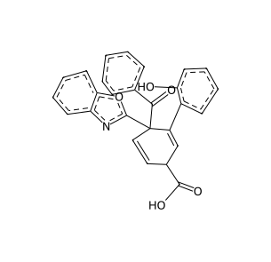 O=C(O)C1C=CC(C(=O)c2ccccc2)(c2nc3ccccc3o2)C(c2ccccc2O)=C1